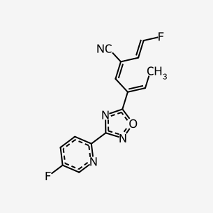 C\C=C(/C=C(C#N)\C=C\F)c1nc(-c2ccc(F)cn2)no1